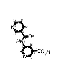 O=C(O)c1cncc(NC(=O)c2cccnc2)c1